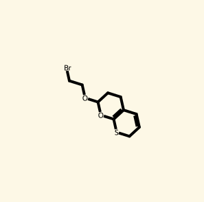 BrCCOC1CCC2=C(O1)SCC=C2